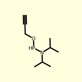 C#CCOPN(C(C)C)C(C)C